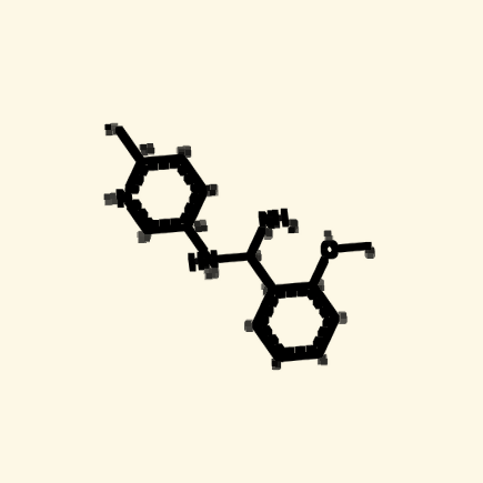 COc1ccccc1C(N)Nc1ccc(C)nc1